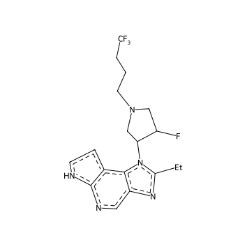 CCc1nc2cnc3[nH]ccc3c2n1C1CN(CCCC(F)(F)F)CC1F